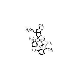 C=CCC1(CC=C)C[C@H]2[C@H](c3ccccc3C)N(C(=O)N(C)C(C)c3cccc(C(F)(F)F)c3)CCN2C1=O